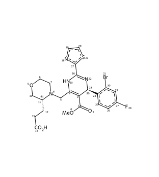 COC(=O)C1=C(CN2CCOC[C@H]2CCC(=O)O)NC(c2nccs2)=N[C@H]1c1ccc(F)cc1Br